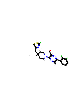 CCCCCC1(Cc2csc(Cl)n2)CCN(c2nc(C)c(-c3cccc(Cl)c3Cl)nc2CO)CC1